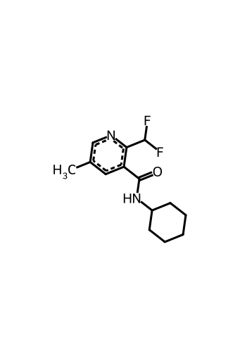 Cc1cnc(C(F)F)c(C(=O)NC2CCCCC2)c1